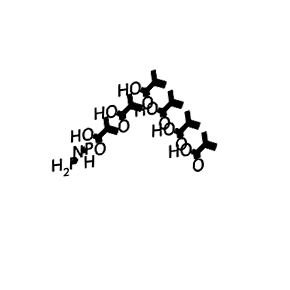 C=C(C)C(=O)O.C=C(C)C(=O)O.C=C(C)C(=O)O.C=C(C)C(=O)O.C=C(C)C(=O)O.C=C(C)C(=O)O.P=NP